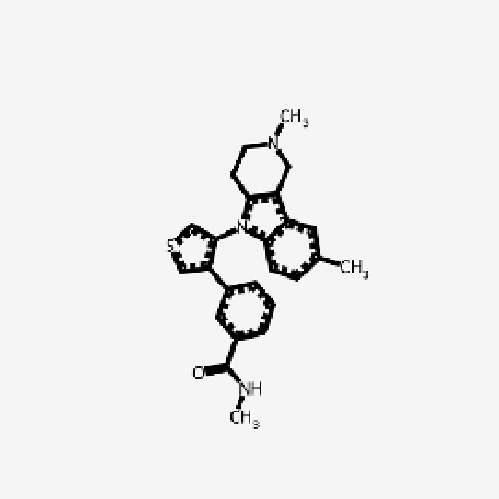 CNC(=O)c1cccc(-c2cscc2-n2c3c(c4cc(C)ccc42)CN(C)CC3)c1